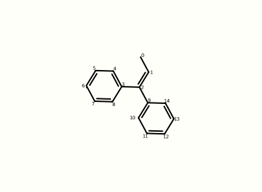 C/C=C(\c1cc[c]cc1)c1ccccc1